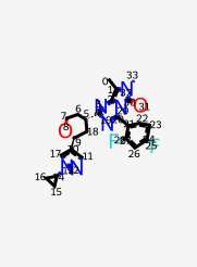 Cc1c2nc([C@H]3CCO[C@H](c4cnn(C5CC5)c4)C3)nc(-c3ccc(F)cc3F)n2c(=O)n1C